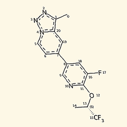 Cc1nnn2ccc(-c3cnc(O[C@@H](C)C(F)(F)F)c(F)c3)cc12